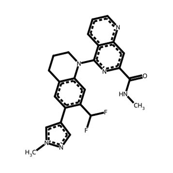 CNC(=O)c1cc2ncccc2c(N2CCCc3cc(-c4cnn(C)c4)c(C(F)F)cc32)n1